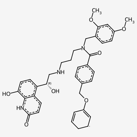 COc1ccc(CN(CCCNC[C@H](O)c2ccc(O)c3[nH]c(=O)ccc23)C(=O)c2ccc(COC3=C[CH]CC=C3)cc2)c(OC)c1